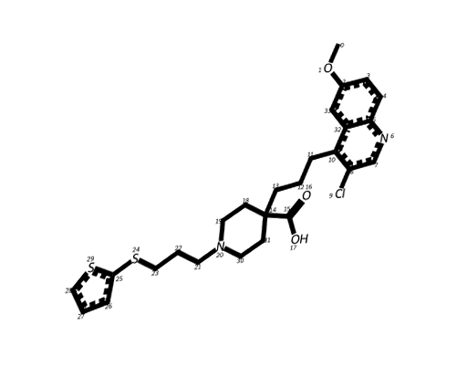 COc1ccc2ncc(Cl)c(CCCC3(C(=O)O)CCN(CCCSc4cccs4)CC3)c2c1